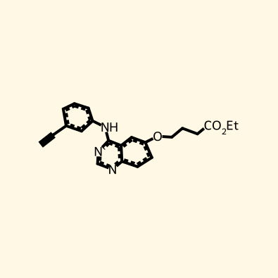 C#Cc1cccc(Nc2ncnc3ccc(OCCCC(=O)OCC)cc23)c1